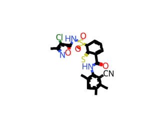 Cc1cc(C)c(NC(=O)C2=CC=CC(S(=O)(=O)Nc3onc(C)c3Cl)C2=S)c(C#N)c1C